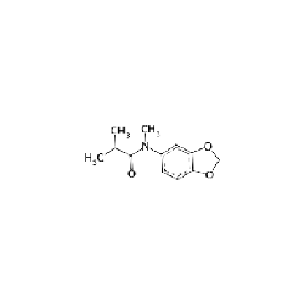 CC(C)C(=O)N(C)c1ccc2c(c1)OCO2